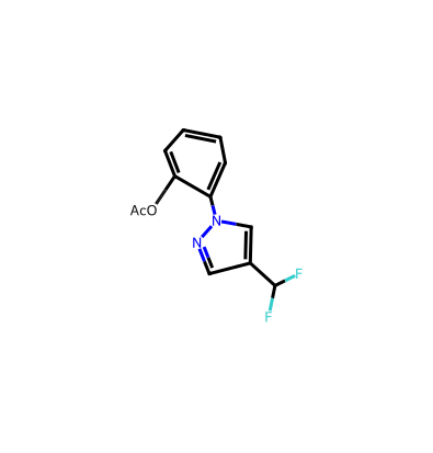 CC(=O)Oc1ccccc1-n1cc(C(F)F)cn1